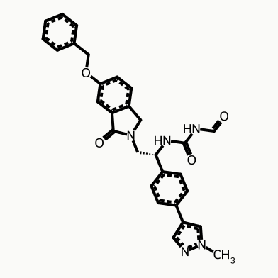 Cn1cc(-c2ccc([C@H](CN3Cc4ccc(OCc5ccccc5)cc4C3=O)NC(=O)NC=O)cc2)cn1